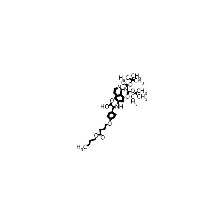 CCCCOC(=O)CCCOc1ccc(C(Nc2ccc3c(N(C(=O)OC(C)(C)C)C(=O)OC(C)(C)C)nccc3c2)C(=O)O)cc1